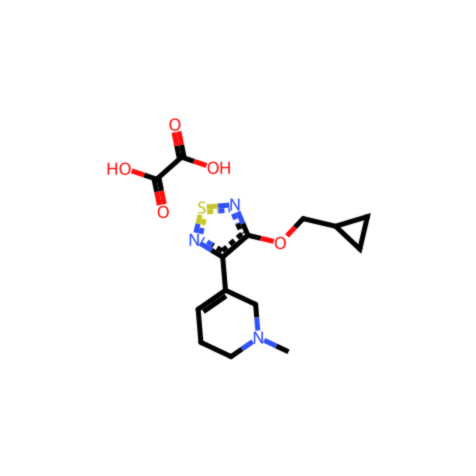 CN1CCC=C(c2nsnc2OCC2CC2)C1.O=C(O)C(=O)O